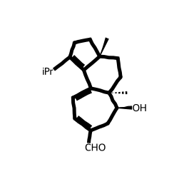 CC(C)C1=C2C3=CC=C(C=O)C[C@H](O)[C@]3(C)CC[C@@]2(C)CC1